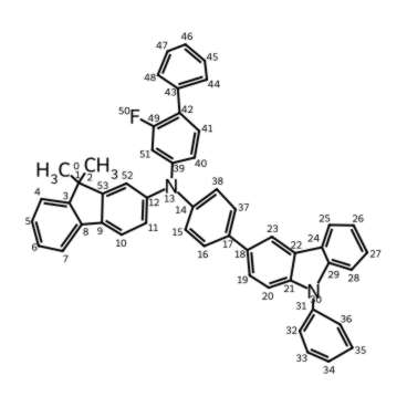 CC1(C)c2ccccc2-c2ccc(N(c3ccc(-c4ccc5c(c4)c4ccccc4n5-c4ccccc4)cc3)c3ccc(-c4ccccc4)c(F)c3)cc21